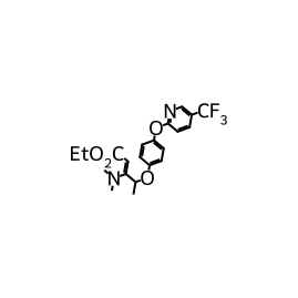 CCOC(=O)C=C(C(C)Oc1ccc(Oc2ccc(C(F)(F)F)cn2)cc1)N(C)C